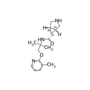 Cc1cccnc1OCC(C)(C)NC(=O)[C@@H]1[C@@H]2CNC[C@@H]21